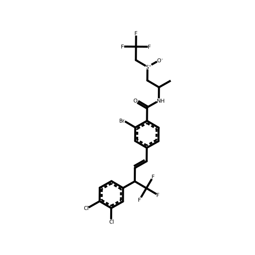 CC(C[S+]([O-])CC(F)(F)F)NC(=O)c1ccc(/C=C/C(c2ccc(Cl)c(Cl)c2)C(F)(F)F)cc1Br